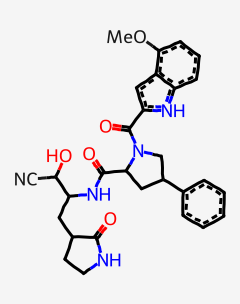 COc1cccc2[nH]c(C(=O)N3CC(c4ccccc4)CC3C(=O)NC(CC3CCNC3=O)C(O)C#N)cc12